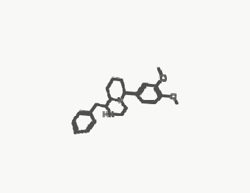 COc1ccc(C2CCCC3C(Cc4ccccc4)NCCN23)cc1OC